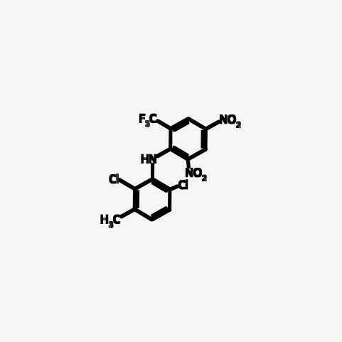 Cc1ccc(Cl)c(Nc2c([N+](=O)[O-])cc([N+](=O)[O-])cc2C(F)(F)F)c1Cl